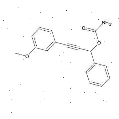 COc1cccc(C#CC(OC(N)=O)c2ccccc2)c1